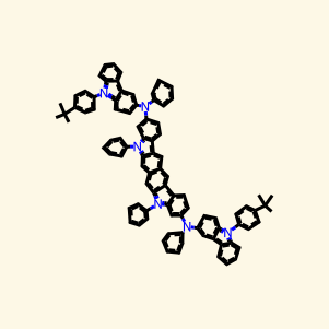 CC(C)(C)c1ccc(-n2c3ccccc3c3cc(N(c4ccccc4)c4ccc5c6cc7cc8c9ccc(N(c%10ccccc%10)c%10ccc%11c(c%10)c%10ccccc%10n%11-c%10ccc(C(C)(C)C)cc%10)cc9n(-c9ccccc9)c8cc7cc6n(-c6ccccc6)c5c4)ccc32)cc1